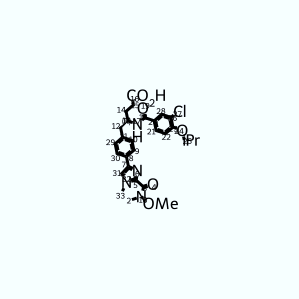 CON(C)C(=O)c1nc(-c2ccc(C[C@@H](CCC(=O)O)NC(=O)c3ccc(OC(C)C)c(Cl)c3)cc2)cn1C